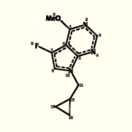 COc1ncnc2c1c(F)cn2CC1CC1